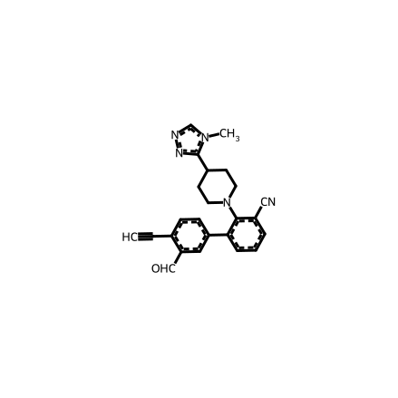 C#Cc1ccc(-c2cccc(C#N)c2N2CCC(c3nncn3C)CC2)cc1C=O